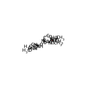 COC(=O)N[C@H](C(=O)N1CCC[C@H]1c1ncc(-c2ccc(-c3ccc4c5c3ncn5CCCCCCO[C@H]3C[C@@H](c5ncc-4[nH]5)N(C(=O)[C@@H](NC(=O)OC)C(C)C)C3)cc2)[nH]1)C(C)C